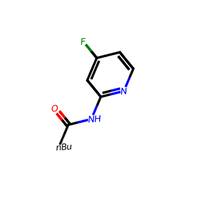 CCCCC(=O)Nc1cc(F)ccn1